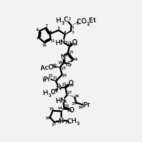 CCOC(=O)[C@@H](C)C[C@H](Cc1ccccc1)NC(=O)c1csc([C@@H](C[C@H](C(C)C)N(C)C(=O)[C@H](CCC(C)C)NC(=O)[C@H]2CCCN2C)OC(C)=O)n1